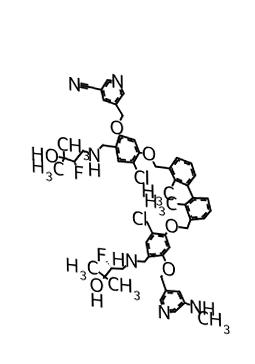 CNc1cncc(COc2cc(OCc3cccc(-c4cccc(COc5cc(OCc6cncc(C#N)c6)c(CNC[C@@H](F)C(C)(C)O)cc5Cl)c4C)c3C)c(Cl)cc2CNC[C@@H](F)C(C)(C)O)c1